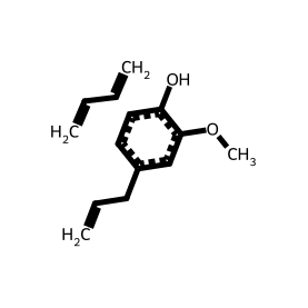 C=CC=C.C=CCc1ccc(O)c(OC)c1